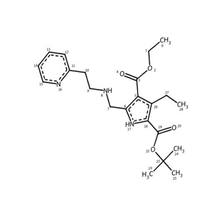 CCOC(=O)c1c(CNCCc2ccccn2)[nH]c(C(=O)OC(C)(C)C)c1CC